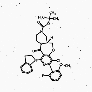 COc1cccc(F)c1-c1nc(N2CCc3ccccc32)c2c(c1Cl)OC[C@H]1CN(C(=O)OC(C)(C)C)CCN1C2=O